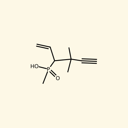 C#CC(C)(C)C(C=C)P(C)(=O)O